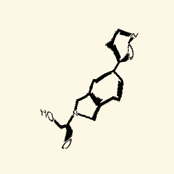 O=C(O)N1Cc2ccc(-c3ccno3)cc2C1